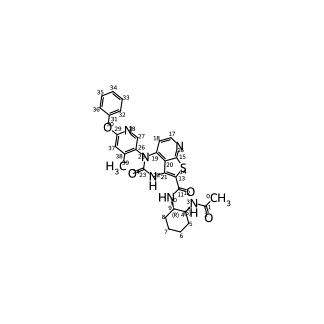 CC(=O)N[C@H]1CCCC[C@H]1NC(=O)c1sc2nccc3c2c1NC(=O)N3c1cnc(Oc2ccccc2)cc1C